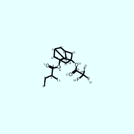 CCC(I)C(=O)OC12CC3CC(C1)CC(OC(=O)C(F)(F)F)(C3)C2